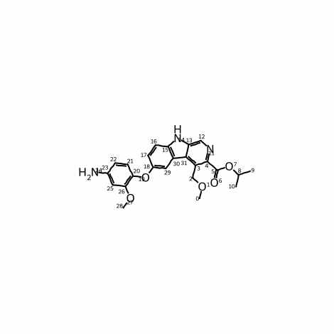 COCc1c(C(=O)OC(C)C)ncc2[nH]c3ccc(Oc4ccc(N)cc4OC)cc3c12